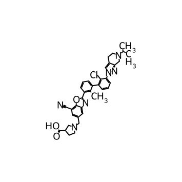 Cc1c(-c2nc3cc(CN4CCC(C(=O)O)C4)cc(C#N)c3o2)cccc1-c1cccc(-n2cc3c(n2)CN(C(C)C)CC3)c1Cl